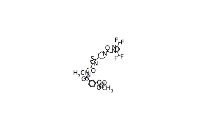 CC(CC(=O)c1csc(C2CCN(C(=O)Cn3nc(C(F)F)cc3C(F)F)CC2)n1)/N=[SH](=O)/c1cccc(OS(C)(=O)=O)c1